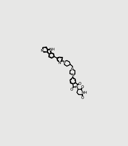 O=C1CCC(N2C(=O)c3ccc(N4CCN(CC5CCN(c6ccc(-c7ccc8c(c7)[nH]c7ccncc78)cn6)CC5)CC4)cc3C2=O)C(=O)N1